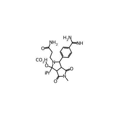 CC(C)C1(OC(=O)O)C2C(=O)N(C)C(=O)C2C(c2ccc(C(=N)N)cc2)N1CCC(N)=O